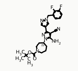 CC(C)(C)OC(=O)N1CCC[C@H](n2nc(-c3cnn(Cc4cccc(F)c4F)c3)c(C#N)c2N)CC1